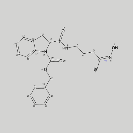 O=C(NCCC/C(Br)=N\O)C1Cc2ccccc2N1C(=O)OCc1ccccc1